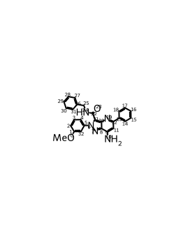 COc1cccc(-n2nc3c(N)cc(-c4ccccc4)nc3c2C(=O)NCc2ccccc2)c1